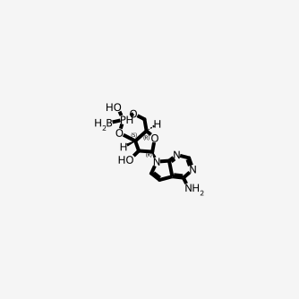 B[PH]1(O)OC[C@H]2O[C@@H](n3ccc4c(N)ncnc43)C(O)[C@@H]2O1